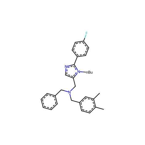 CCCCn1c(CN(Cc2ccccc2)Cc2ccc(C)c(C)c2)cnc1-c1ccc(F)cc1